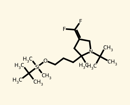 CC(C)(C)N1CC(=C(F)F)CC1(C)CCCO[Si](C)(C)C(C)(C)C